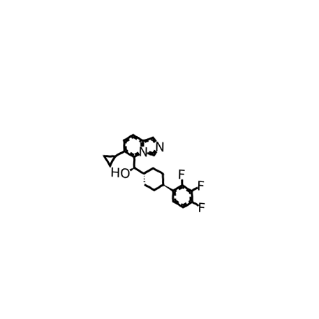 O[C@@H](c1c(C2CC2)ccc2cncn12)[C@H]1CC[C@H](c2ccc(F)c(F)c2F)CC1